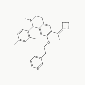 CC(=C1CCC1)c1cc2c(cc1OCCc1cccnc1)C(c1ccc(C)cc1C)N(C)CC2